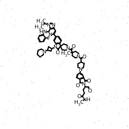 CNC(=O)CCC(C=O)N1C(=O)c2ccc(N3CCC(C(=O)N4CCC(C)(C(=O)N5CCC6(CC5)C(=O)N(C5CC(N7CCCCC7)C5)c5cc(-c7cc8ncn(C(C)C)c8c(Nc8ccccc8F)n7)ccc56)CC4)CC3)cc2C1=O